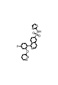 O=S(=O)(Nc1nccs1)c1ccc2c(-c3ccc(F)cc3Oc3cccnn3)nccc2c1